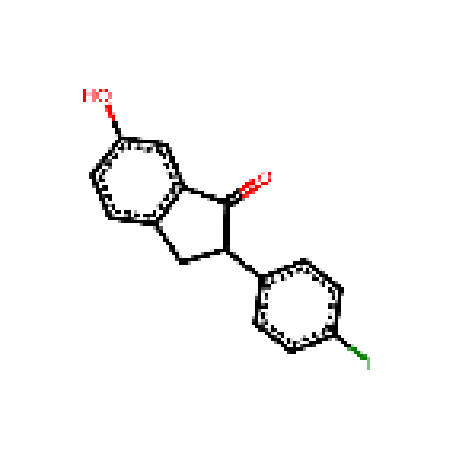 O=C1c2cc(O)ccc2CC1c1ccc(F)cc1